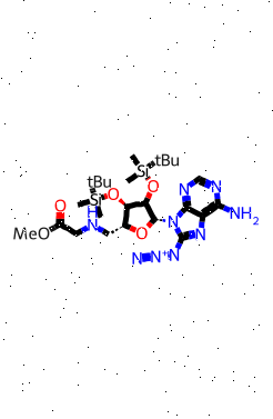 COC(=O)CNC[C@H]1O[C@@H](n2c(N=[N+]=[N-])nc3c(N)ncnc32)C(O[Si](C)(C)C(C)(C)C)[C@@H]1O[Si](C)(C)C(C)(C)C